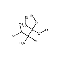 CCO[Si](OCC)(OCC)C(N)(C(C)=O)C(C)C(C)=O